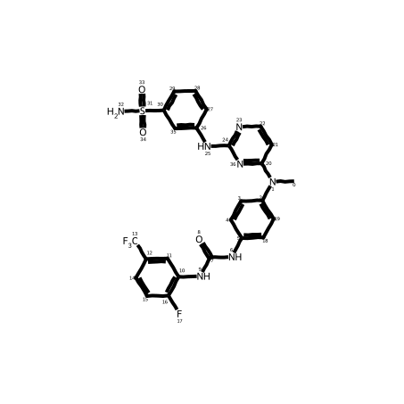 CN(c1ccc(NC(=O)Nc2cc(C(F)(F)F)ccc2F)cc1)c1ccnc(Nc2cccc(S(N)(=O)=O)c2)n1